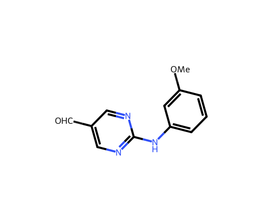 COc1cccc(Nc2ncc(C=O)cn2)c1